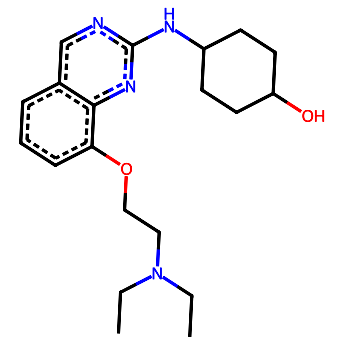 CCN(CC)CCOc1cccc2cnc(NC3CCC(O)CC3)nc12